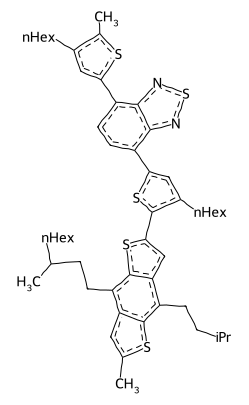 CCCCCCc1cc(-c2ccc(-c3cc(CCCCCC)c(-c4cc5c(CCC(C)C)c6sc(C)cc6c(CCC(C)CCCCCC)c5s4)s3)c3nsnc23)sc1C